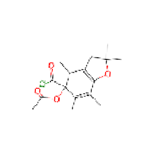 CC(=O)OC1(C(=O)Cl)C(C)=C(C)C2=C(CC(C)(C)O2)C1C